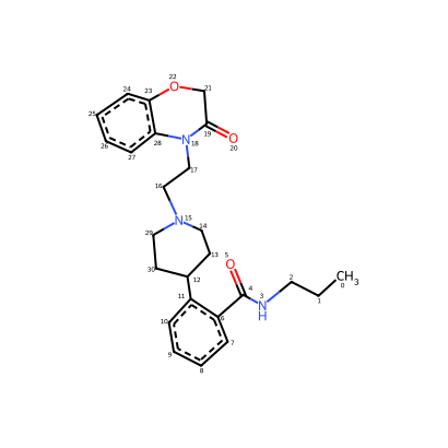 CCCNC(=O)c1ccccc1C1CCN(CCN2C(=O)COc3ccccc32)CC1